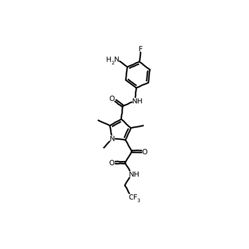 Cc1c(C(=O)Nc2ccc(F)c(N)c2)c(C)n(C)c1C(=O)C(=O)NCC(F)(F)F